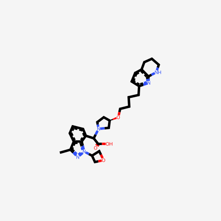 Cc1nn(C2COC2)c2c(C(C(=O)O)N3CC[C@@H](OCCCCc4ccc5c(n4)NCCC5)C3)cccc12